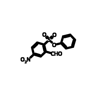 O=Cc1cc([N+](=O)[O-])ccc1S(=O)(=O)Oc1ccccc1